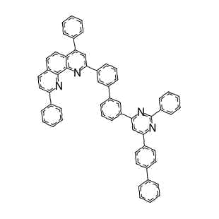 c1ccc(-c2ccc(-c3cc(-c4cccc(-c5cccc(-c6cc(-c7ccccc7)c7ccc8ccc(-c9ccccc9)nc8c7n6)c5)c4)nc(-c4ccccc4)n3)cc2)cc1